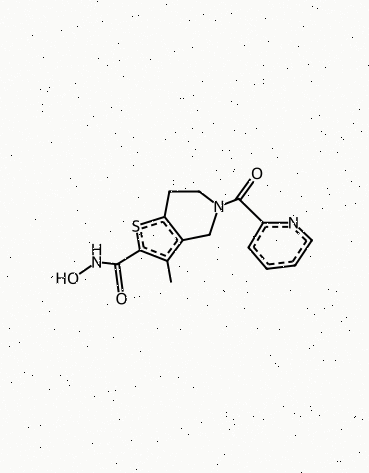 Cc1c(C(=O)NO)sc2c1CN(C(=O)c1ccccn1)CC2